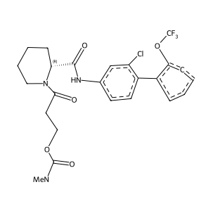 CNC(=O)OCCC(=O)N1CCCC[C@@H]1C(=O)Nc1ccc(-c2ccccc2OC(F)(F)F)c(Cl)c1